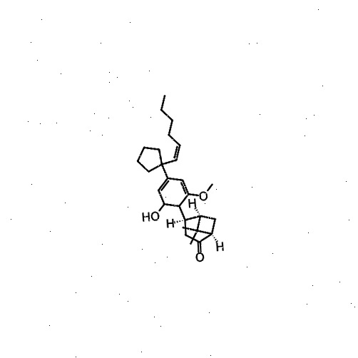 CCCC/C=C\C1(C2=CC(O)C([C@@H]3CC(=O)[C@@H]4C[C@H]3C4(C)C)C(OC)=C2)CCCC1